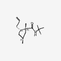 C=CC[C@H]1C[C@H](C)C[C@@]1(C)C(=O)NC(C)(C)C